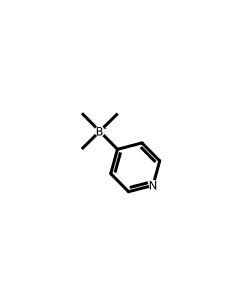 C[B-](C)(C)c1ccncc1